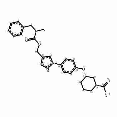 CN(Cc1ccccc1)C(=O)OCc1cn(-c2ccc(O[C@H]3CCC[C@H](C(=O)O)C3)cc2)nn1